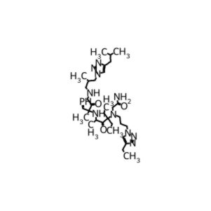 CCc1cn(CCCN(CC(N)=O)C(CC)(CC)C(=O)C(C)NC(C)(C=P)C(=O)CNCC(C)Cn2cc(CC(C)C)nn2)nn1